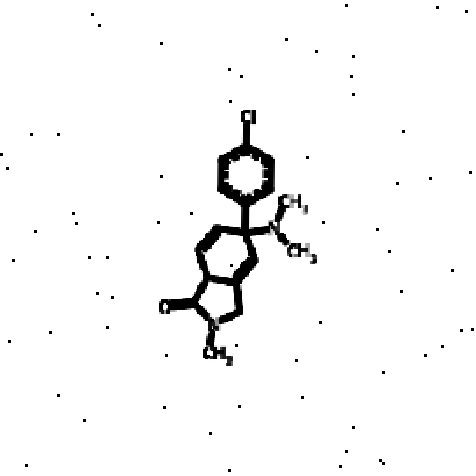 CN1CC2=CC(c3ccc(Cl)cc3)(N(C)C)C=CC2C1=O